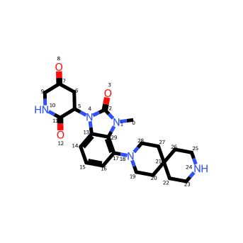 Cn1c(=O)n(C2CC(=O)CNC2=O)c2cccc(N3CCC4(CCNCC4)CC3)c21